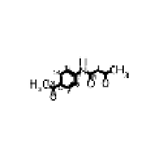 CC(=O)CC(=O)Nc1ccc(C(C)=O)cc1